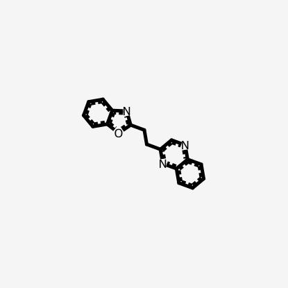 c1ccc2nc(CCc3nc4ccccc4o3)cnc2c1